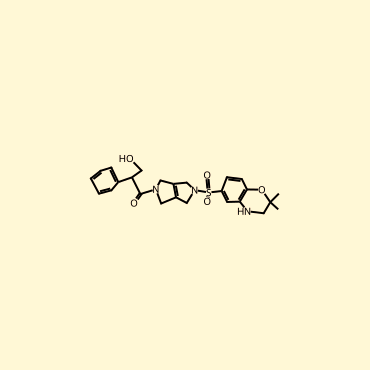 CC1(C)CNc2cc(S(=O)(=O)N3CC4=C(CN(C(=O)C(CO)c5ccccc5)C4)C3)ccc2O1